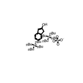 CCCC[N+](CCCC)(CCCC)CCCC.CCCC[N+](CCCC)(CCCC)CCCC.O=S(=O)([O-])[O-].OC1=Cc2ccccc2C1